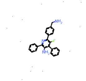 NCc1ccc(-c2nc(-c3ccccc3)c(N)c(-c3ccccc3)c2F)cc1